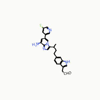 CC(CCc1ccc2c(CC=O)c[nH]c2c1)c1cnc2c(N)cc(-c3cncc(F)c3)cn12